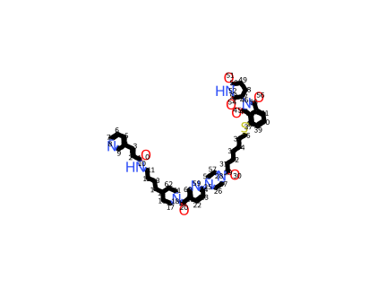 O=C(/C=C/c1cccnc1)NCCCCC1CCN(C(=O)c2ccc(N3CCN(C(=O)CCCCCCSc4cccc5c4C(=O)N(C4CCC(=O)NC4=O)C5=O)CC3)nc2)CC1